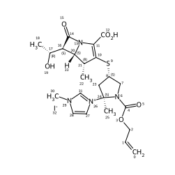 C=CCOC(=O)N1C[C@@H](SC2=C(C(=O)O)N3C(=O)[C@H]([C@@H](C)O)[C@H]3[C@H]2C)C[C@]1(C)[n+]1ccn(C)c1.[I-]